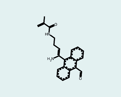 C=C(C)C(=O)NCCC=C(N)c1c2ccccc2c(C=O)c2ccccc12